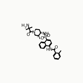 Cc1ccccc1C(=O)Nc1ccc(S(=O)(=O)N[C@H]2CCN(C(=O)C(C)(C)N)C[C@@H]2C)c2ccccc12